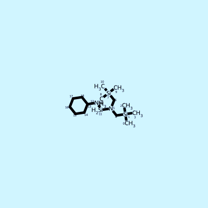 C[Si](C)(C)CN(C[Si](C)(C)C)[SiH2]NC1CCCCC1